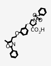 Cc1oc(-c2ccccc2)nc1CCOc1cccc(C[C@@H]2CN(S(=O)(=O)c3ccccc3)C[C@@H]2C(=O)O)c1